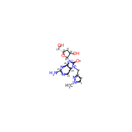 Cn1ccc(Cn2c(=O)n([C@@H]3O[C@H](CO)C[C@H]3O)c3nc(N)ncc32)n1